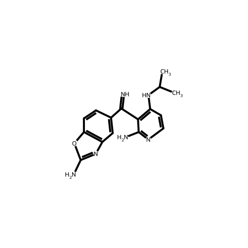 CC(C)Nc1ccnc(N)c1C(=N)c1ccc2oc(N)nc2c1